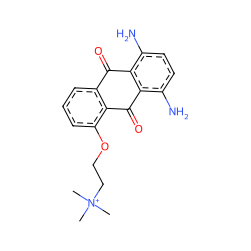 C[N+](C)(C)CCOc1cccc2c1C(=O)c1c(N)ccc(N)c1C2=O